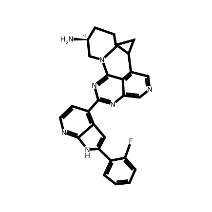 N[C@H]1CCCN(c2nc(-c3ccnc4[nH]c(-c5ccccc5F)cc34)nc3cncc(C4CC4)c23)C1